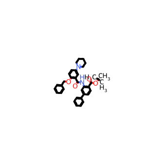 CC(C)(C)OC(=O)c1ccc(-c2ccccc2)cc1NC(=O)c1cc(N2CCCCC2)ccc1OCc1ccccc1